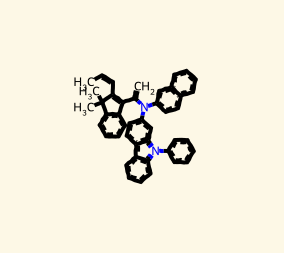 C=C(C1=C(/C=C\C)C(C)(C)c2ccccc21)N(c1ccc2ccccc2c1)c1ccc2c3ccccc3n(-c3ccccc3)c2c1